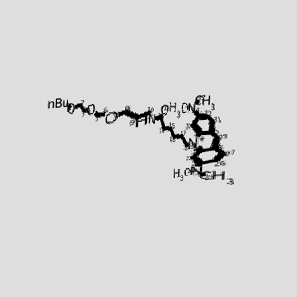 CCCCOCCOCCOCCCNC(=O)CCCCC[n+]1c2cc(N(C)C)ccc2cc2ccc(N(C)C)cc21